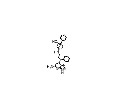 Nc1cc(C(CCNC23CCC(c4ccccc4)(CC2)C(O)C3)c2ccccc2)c2nn[nH]c2n1